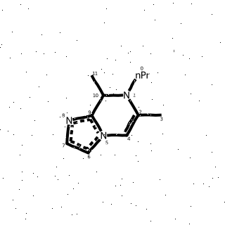 [CH2]CCN1C(C)=Cn2ccnc2C1C